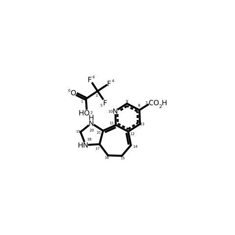 O=C(O)C(F)(F)F.O=C(O)c1cnc2c(c1)=CCCC1NCNC=21